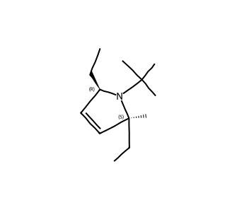 CC[C@@H]1C=C[C@](C)(CC)N1C(C)(C)C